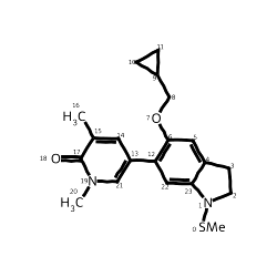 CSN1CCc2cc(OCC3CC3)c(-c3cc(C)c(=O)n(C)c3)cc21